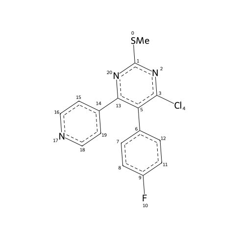 CSc1nc(Cl)c(-c2ccc(F)cc2)c(-c2ccncc2)n1